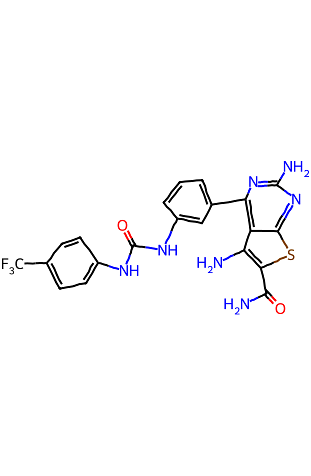 NC(=O)c1sc2nc(N)nc(-c3cccc(NC(=O)Nc4ccc(C(F)(F)F)cc4)c3)c2c1N